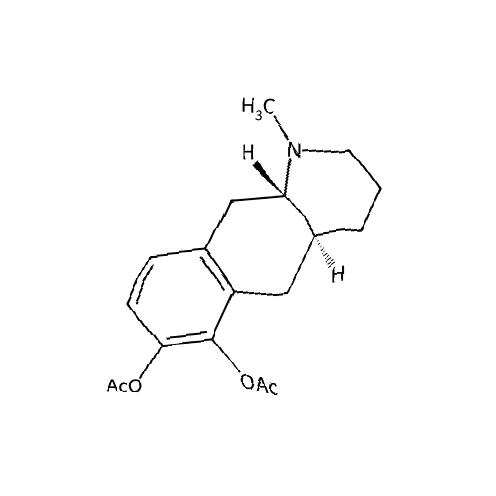 CC(=O)Oc1ccc2c(c1OC(C)=O)C[C@@H]1CCCN(C)[C@H]1C2